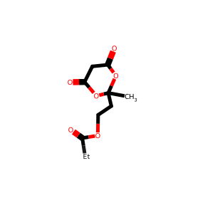 CCC(=O)OCCC1(C)OC(=O)CC(=O)O1